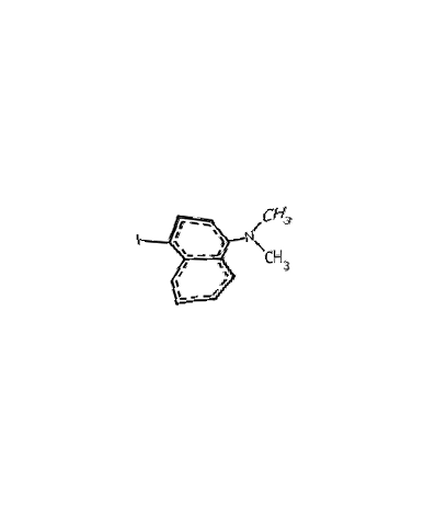 CN(C)c1ccc(I)c2ccccc12